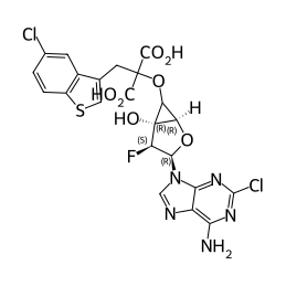 Nc1nc(Cl)nc2c1ncn2[C@@H]1O[C@@H]2C(OC(Cc3csc4ccc(Cl)cc34)(C(=O)O)C(=O)O)[C@]2(O)[C@@H]1F